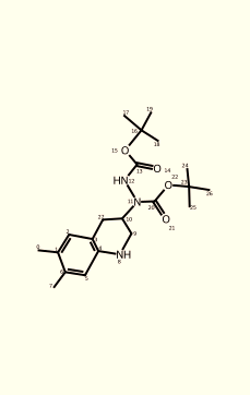 Cc1cc2c(cc1C)NCC(N(NC(=O)OC(C)(C)C)C(=O)OC(C)(C)C)C2